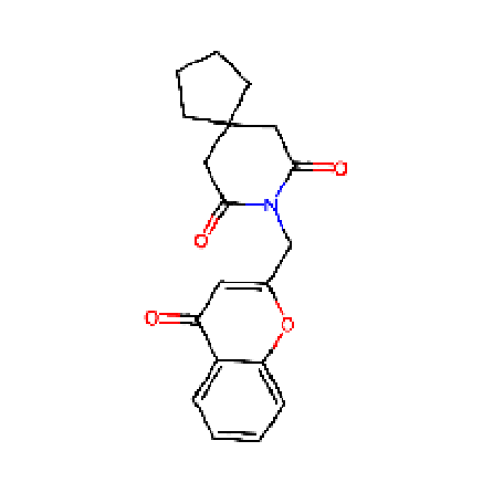 O=C1CC2(CCCC2)CC(=O)N1Cc1cc(=O)c2ccccc2o1